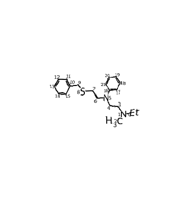 CCN(C)CCN(CCSCc1ccccc1)c1ccccc1